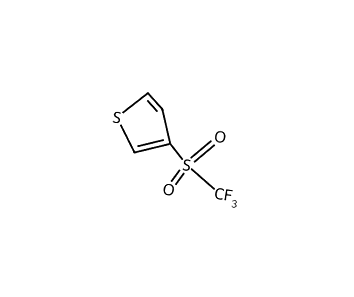 O=S(=O)(c1ccsc1)C(F)(F)F